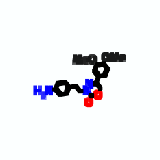 COc1ccc(C2=NN(CCc3ccc(N)cc3)C(=O)OC2)cc1OC